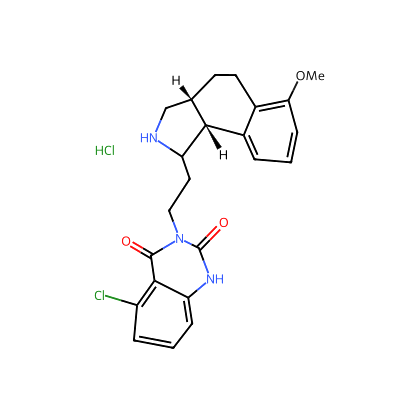 COc1cccc2c1CC[C@H]1CNC(CCn3c(=O)[nH]c4cccc(Cl)c4c3=O)[C@@H]21.Cl